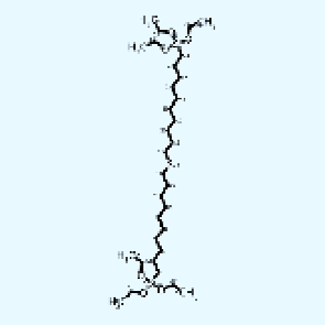 CCO[Si](CCCCCCCCCCSCCCCCCCCCC[Si](OCC)(OCC)OCC)(OCC)OCC